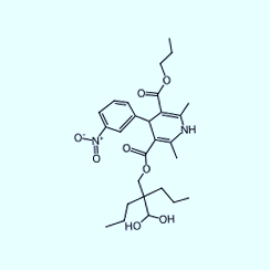 CCCOC(=O)C1=C(C)NC(C)=C(C(=O)OCC(CCC)(CCC)C(O)O)C1c1cccc([N+](=O)[O-])c1